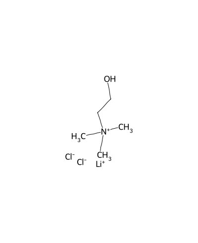 C[N+](C)(C)CCO.[Cl-].[Cl-].[Li+]